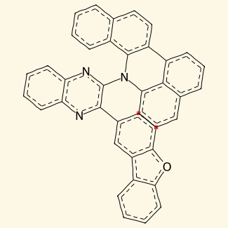 c1ccc2c3c(ccc2c1)-c1cccc2cccc(c12)N3c1nc2ccccc2nc1-c1ccc2oc3ccccc3c2c1